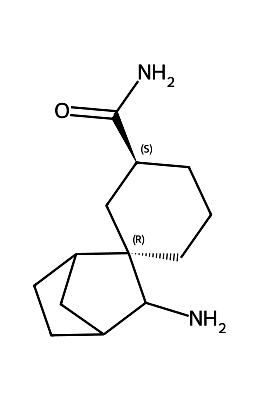 NC(=O)[C@H]1CCC[C@@]2(C1)C1CCC(C1)C2N